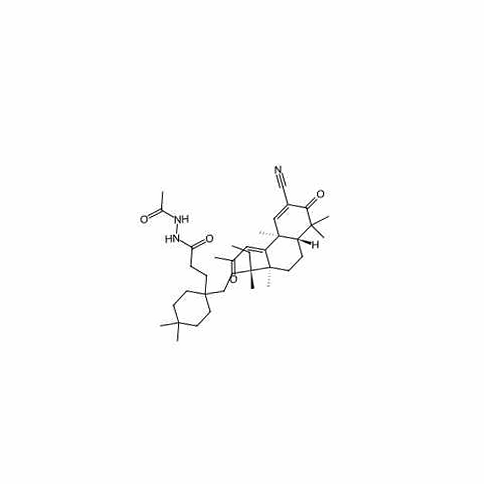 CC[C@@](C)(CCC1(CCC(=O)NNC(C)=O)CCC(C)(C)CC1)[C@]1(C)CC[C@H]2C(C)(C)C(=O)C(C#N)=C[C@]2(C)/C1=C/C(C)=O